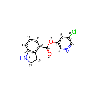 O=C(Oc1cncc(Cl)c1)c1cccc2c1CCN2